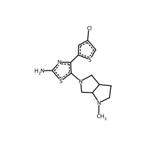 CN1CCC2CN(c3sc(N)nc3-c3cc(Cl)cs3)CC21